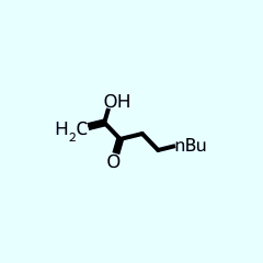 C=C(O)C(=O)CCCCCC